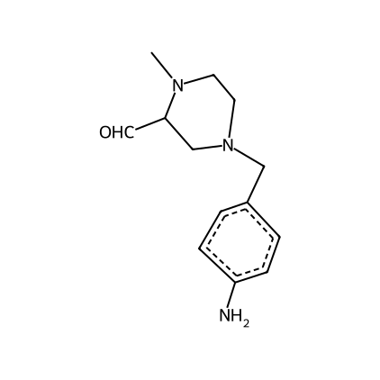 CN1CCN(Cc2ccc(N)cc2)CC1C=O